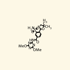 COc1nc(NC(=O)c2ccc(C3=NCC(C)(C)O3)c(S(N)(=O)=O)c2)nc(OC)n1